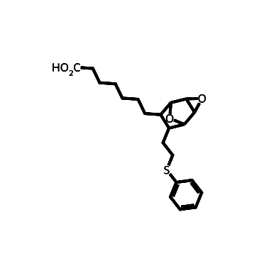 O=C(O)CCCCCCC1C(CCSc2ccccc2)C2OC1C1OC21